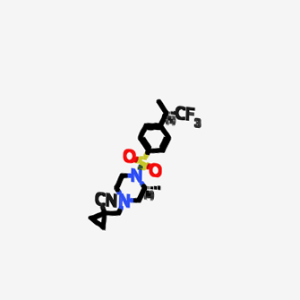 C[C@@H]1CN(CC2(C#N)CC2)CCN1S(=O)(=O)c1ccc([C@H](C)C(F)(F)F)cc1